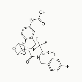 C[C@H](N(Cc1ccc(F)cc1)C(=O)CN1C2OC1[C@]1(CCc3cc(NC(=O)O)ccc31)O2)C(F)(F)F